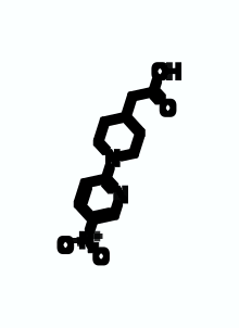 O=C(O)CC1CCN(c2ccc([N+](=O)[O-])cn2)CC1